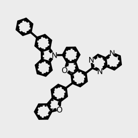 c1ccc(-c2ccc3c(c2)c2ccccc2n3-c2cccc3c2oc2c(-c4ccc5c(c4)oc4ccccc45)ccc(-c4ncc5ncccc5n4)c23)cc1